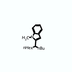 CCCCCCC(CCCC)c1cc2ccccc2n1C